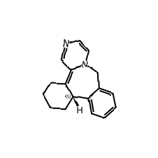 C1=CN2Cc3ccccc3[C@@H]3CCCCC3=C2C=N1